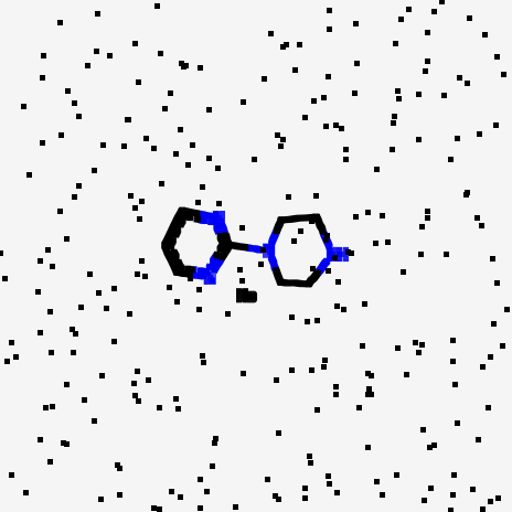 [No].c1cnc(N2CCNCC2)nc1